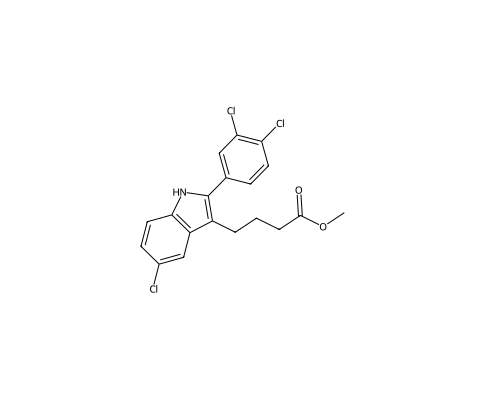 COC(=O)CCCc1c(-c2ccc(Cl)c(Cl)c2)[nH]c2ccc(Cl)cc12